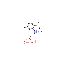 Cc1ccc2c(c1)N(CCC(O)CO)C(C)(C)CC2C